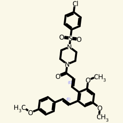 COc1ccc(/C=C/c2cc(OC)cc(OC)c2/C=C/C(=O)N2CCN(S(=O)(=O)c3ccc(Cl)cc3)CC2)cc1